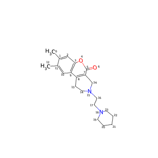 Cc1cc2oc(=O)c3c(c2cc1C)CCN(CCN1CCCCC1)C3